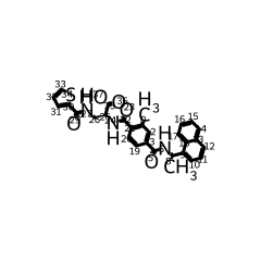 Cc1cc(C(=O)N[C@H](C)c2cccc3ccccc23)ccc1C(=O)N[C@@H](CNC(=O)c1cccs1)C(=O)O